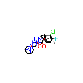 O=C(CN1CC2CC(C1)N2CCNC(=O)C1(C(F)(F)F)CC1)Nc1ccc(F)c(Cl)c1